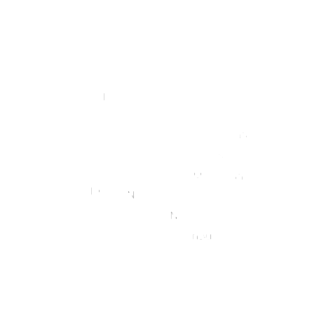 CCCCn1cc[n+](C)c1.O=S(=O)([O-])CCCCF